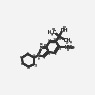 CNc1cc2cn(C3CCCCC3)nc2cc1C(C)(C)O